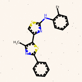 CCc1ccccc1Nc1nc(-c2sc(-c3ccccc3)nc2C)cs1